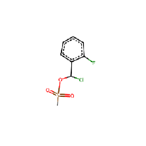 CS(=O)(=O)OC(Cl)c1ccccc1F